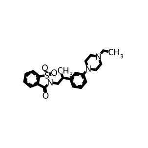 CCN1CCN(c2cccc(C(C)CN3C(=O)c4ccccc4S3(=O)=O)c2)CC1